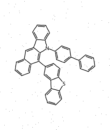 c1ccc(-c2ccc(-n3c4ccccc4c4cc5ccccc5c(-c5ccc6sc7ccccc7c6c5)c43)cc2)cc1